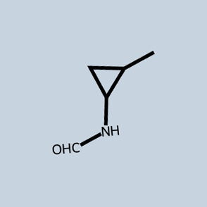 CC1CC1NC=O